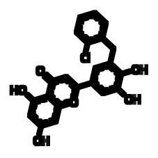 O=c1cc(-c2cc(O)c(O)c(Cc3ccccc3Cl)c2)oc2cc(O)cc(O)c12